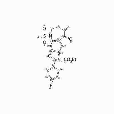 C=C1CCN(S(C)(=O)=O)c2cc3oc(-c4ccc(F)cc4)c(C(=O)OCC)c3cc2C1=O